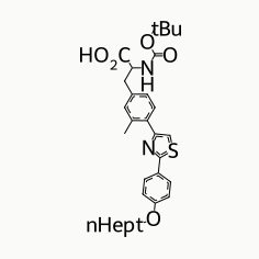 CCCCCCCOc1ccc(-c2nc(-c3ccc(CC(NC(=O)OC(C)(C)C)C(=O)O)cc3C)cs2)cc1